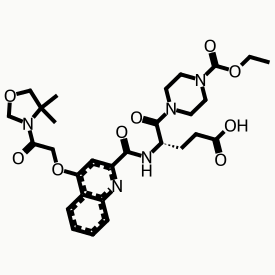 CCOC(=O)N1CCN(C(=O)[C@H](CCC(=O)O)NC(=O)c2cc(OCC(=O)N3COCC3(C)C)c3ccccc3n2)CC1